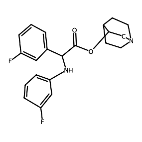 O=C(OC1CN2CCC1CC2)C(Nc1cccc(F)c1)c1cccc(F)c1